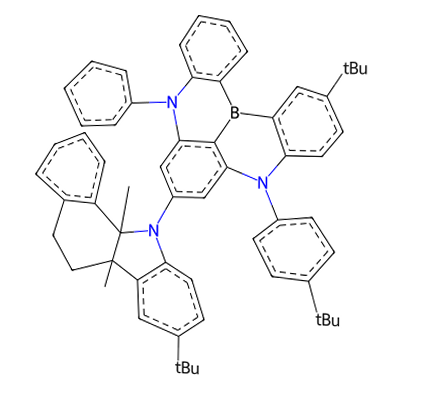 CC(C)(C)c1ccc(N2c3ccc(C(C)(C)C)cc3B3c4ccccc4N(c4ccccc4)c4cc(N5c6ccc(C(C)(C)C)cc6C6(C)CCc7ccccc7C56C)cc2c43)cc1